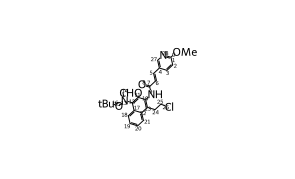 COc1ccc(/C=C/C(=O)Nc2cc(N(C=O)OC(C)(C)C)c3ccccc3c2CCCl)cn1